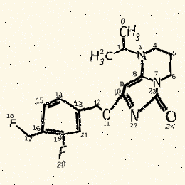 CC(C)N1CCCn2c1cc(OCc1ccc(CF)c(F)c1)nc2=O